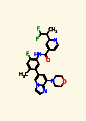 Cc1cc(F)c(NC(=O)c2ccnc(C(C)C(F)F)c2)cc1-c1cc(N2CCOCC2)c2nccn2c1